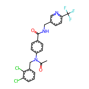 CC(=O)N(Cc1cccc(Cl)c1Cl)c1ccc(C(=O)NCc2ccc(C(F)(F)F)nc2)cc1